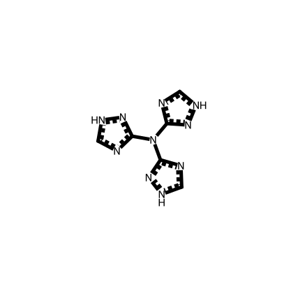 c1nc(N(c2nc[nH]n2)c2nc[nH]n2)n[nH]1